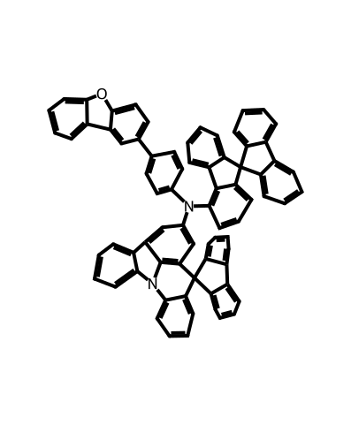 c1ccc2c(c1)-c1ccccc1C21c2ccccc2-c2c(N(c3ccc(-c4ccc5oc6ccccc6c5c4)cc3)c3cc4c5c(c3)c3ccccc3n5-c3ccccc3C43c4ccccc4-c4ccccc43)cccc21